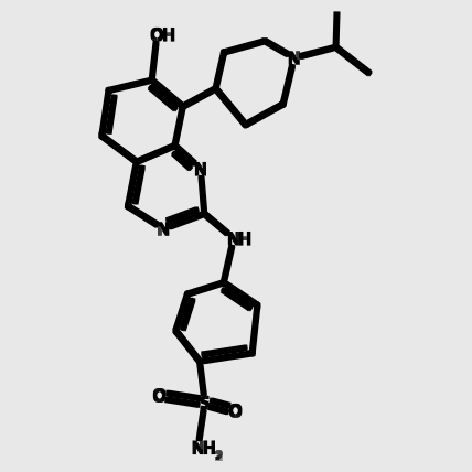 CC(C)N1CCC(c2c(O)ccc3cnc(Nc4ccc(S(N)(=O)=O)cc4)nc23)CC1